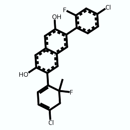 CC1(F)CC(Cl)=CC=C1c1cc2cc(-c3ccc(Cl)cc3F)c(O)cc2cc1O